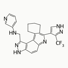 FC(F)(F)c1n[nH]cc1-c1nc2ccc3[nH]nc(CNc4cccnc4)c3c2c2c1CCCC2